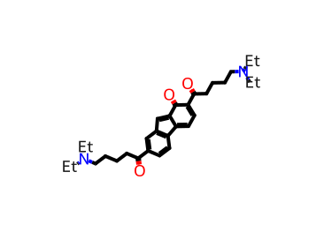 CCN(CC)CCCCC(=O)C1=CC=C2C(=Cc3cc(C(=O)CCCCN(CC)CC)ccc32)C1=O